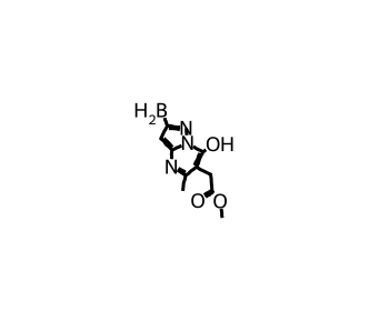 Bc1cc2nc(C)c(CC(=O)OC)c(O)n2n1